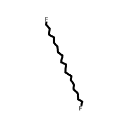 FCCCCCCCCCCCCCCCCCCF